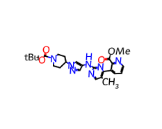 COC(=O)c1ncccc1-c1nc(Nc2cnn(C3CCN(C(=O)OC(C)(C)C)CC3)c2)ncc1C